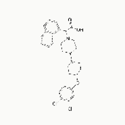 O=C(O)C(c1cccc2ccccc12)N1CCC(N2CCC(Oc3ccc(Cl)c(Cl)c3)CC2)CC1